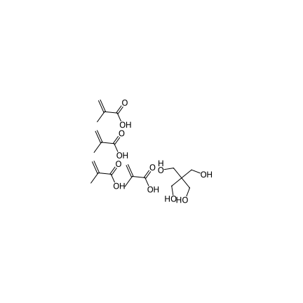 C=C(C)C(=O)O.C=C(C)C(=O)O.C=C(C)C(=O)O.C=C(C)C(=O)O.OCC(CO)(CO)CO